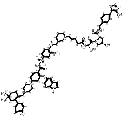 Cc1ncsc1-c1ccc(CNC(=O)[C@@H]2C[C@@H](O)CN2C(=O)[C@@H](NC(=O)CCCCN2CCCC(CNc3ccc(S(=O)(=O)NC(=O)c4ccc(N5CCN(CC6=C(c7ccc(Cl)cc7)CC(C)(C)CC6)CC5)cc4Oc4cnc5[nH]ccc5c4)cc3[N+](=O)[O-])C2)C(C)(C)C)cc1